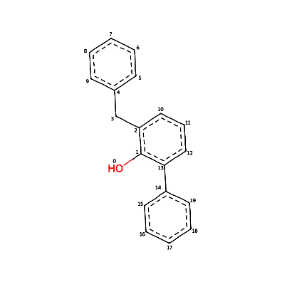 Oc1c(Cc2ccccc2)cccc1-c1ccccc1